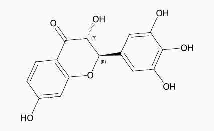 O=C1c2ccc(O)cc2O[C@H](c2cc(O)c(O)c(O)c2)[C@H]1O